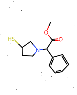 COC(=O)C(c1ccccc1)N1CCC(S)C1